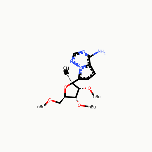 C#C[C@@]1(c2ccc3c(N)ncnn23)O[C@H](COCCCC)[C@@H](OCCCC)[C@H]1OCCCC